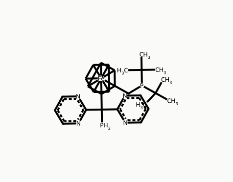 CC(C)(C)P(C[C]12[CH]3[CH]4[CH]5[C]1(C(P)(c1ncccn1)c1ncccn1)[Fe]43521678[CH]2[CH]1[CH]6[CH]7[CH]28)C(C)(C)C